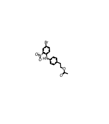 CC(=O)OCCc1ccc(Nc2ccc(Br)cc2[N+](=O)[O-])cc1